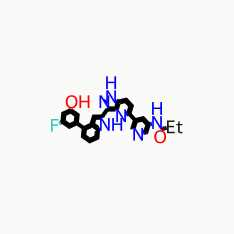 CCC(=O)Nc1cncc(-c2ccc3[nH]nc(-c4cc5c(-c6cc(O)cc(F)c6)cccc5[nH]4)c3n2)c1